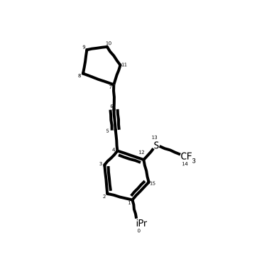 CC(C)c1ccc(C#CC2CCCC2)c(SC(F)(F)F)c1